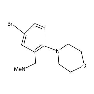 CNCc1cc(Br)ccc1N1CCOCC1